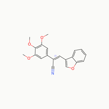 COc1cc(/C(C#N)=C/c2coc3ccccc23)cc(OC)c1OC